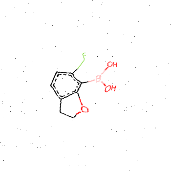 OB(O)c1c(F)ccc2c1OCC2